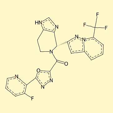 O=C(c1nnc(-c2ncccc2F)o1)N1CCc2[nH]cnc2[C@@H]1c1cc2cccc(C(F)(F)F)n2n1